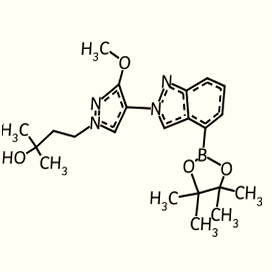 COc1nn(CCC(C)(C)O)cc1-n1cc2c(B3OC(C)(C)C(C)(C)O3)cccc2n1